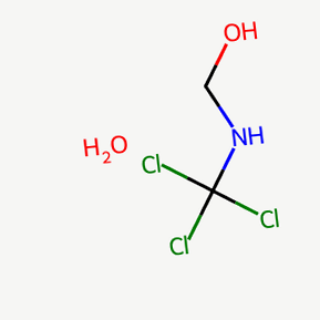 O.OCNC(Cl)(Cl)Cl